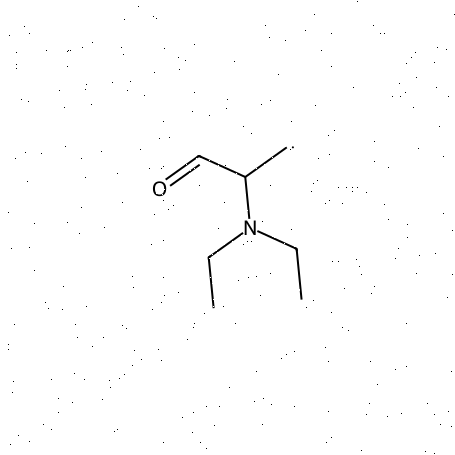 [CH2]C(C=O)N(CC)CC